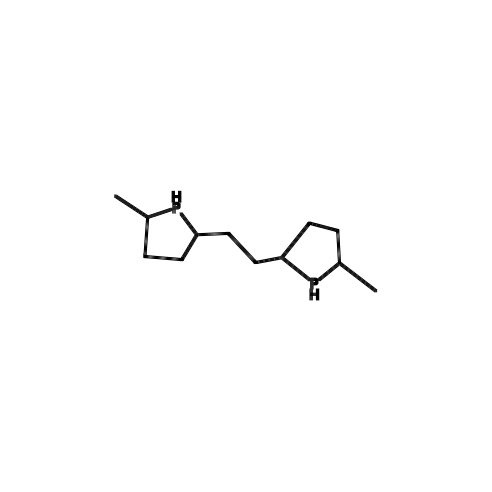 CC1CCC(CCC2CCC(C)P2)P1